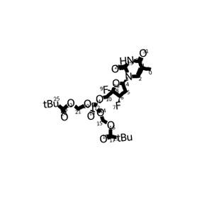 Cc1cn([C@H]2C[C@H](F)[C@@](F)(COP(=O)(OCOC(=O)C(C)(C)C)OCOC(=O)C(C)(C)C)O2)c(=O)[nH]c1=O